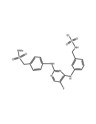 CCS(=O)(=O)NCc1cccc(Nc2nc(Nc3ccc(CS(=O)(=O)NC)cc3)ncc2F)c1